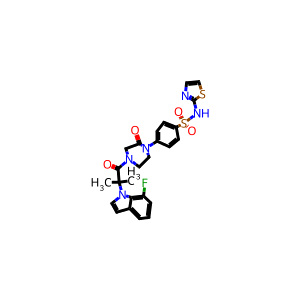 CC(C)(C(=O)N1CCN(c2ccc(S(=O)(=O)Nc3nccs3)cc2)C(=O)C1)n1ccc2cccc(F)c21